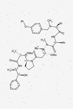 CC[C@H](C)[C@@H]([C@@H](CC(=O)N1CCC[C@H]1[C@H](OC)[C@@H](C)C(=O)N[C@H](C)[C@@H](O)c1ccccc1)OC)N(C)C(=O)[C@@H](NC(=O)[C@H](C(C)C)N(C)Cc1ccc(OC(C)C)cc1)C(C)C